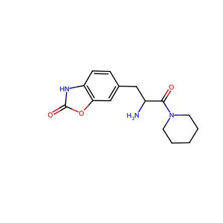 NC(Cc1ccc2[nH]c(=O)oc2c1)C(=O)N1CCCCC1